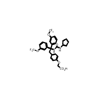 O=C(O)COc1ccc(CC(NC(=O)NC2CCCC2)(c2cccc(OC(F)(F)F)c2)c2cccc(OC(F)(F)F)c2)cc1